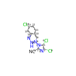 N#Cc1nc(Cl)c(Cl)n1N1C=c2ccc(Cl)cc2=NN1